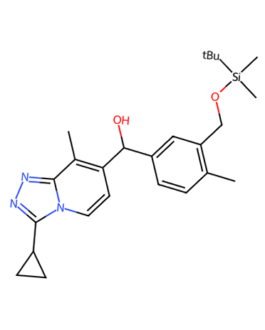 Cc1ccc(C(O)c2ccn3c(C4CC4)nnc3c2C)cc1CO[Si](C)(C)C(C)(C)C